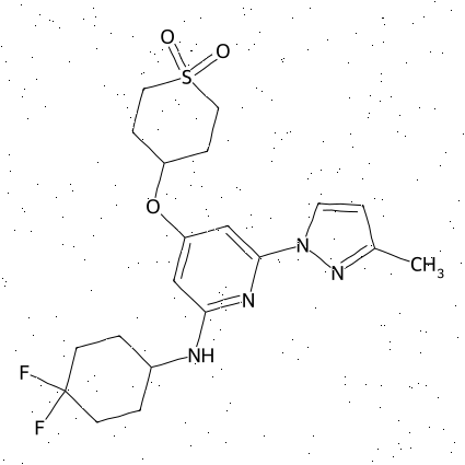 Cc1ccn(-c2cc(OC3CCS(=O)(=O)CC3)cc(NC3CCC(F)(F)CC3)n2)n1